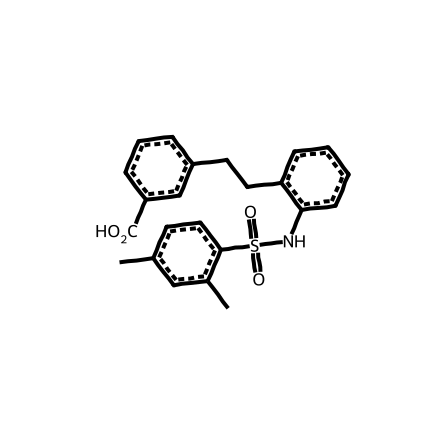 Cc1ccc(S(=O)(=O)Nc2ccccc2CCc2cccc(C(=O)O)c2)c(C)c1